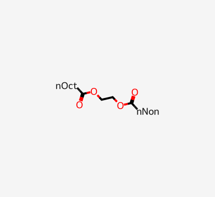 CCCCCCCCCC(=O)OCCOC(=O)CCCCCCCC